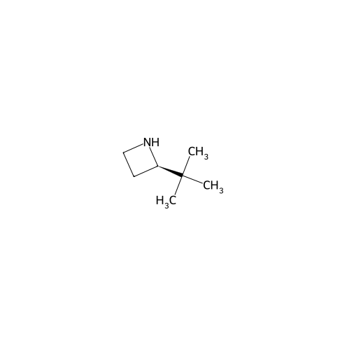 CC(C)(C)[C@H]1CCN1